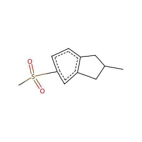 CC1Cc2ccc(S(C)(=O)=O)cc2C1